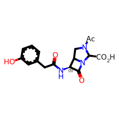 CC(=O)N1CC2[C@H](NC(=O)Cc3cccc(O)c3)C(=O)N2C1C(=O)O